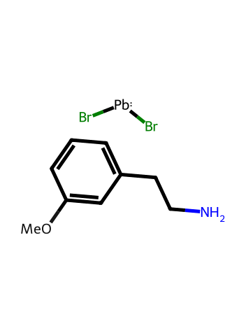 COc1cccc(CCN)c1.[Br][Pb][Br]